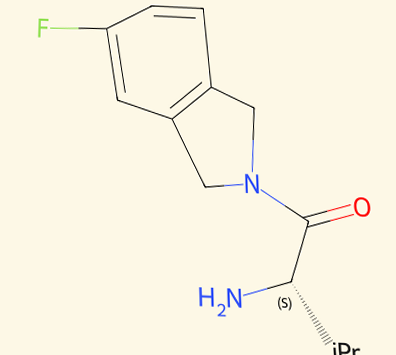 CC(C)[C@H](N)C(=O)N1Cc2ccc(F)cc2C1